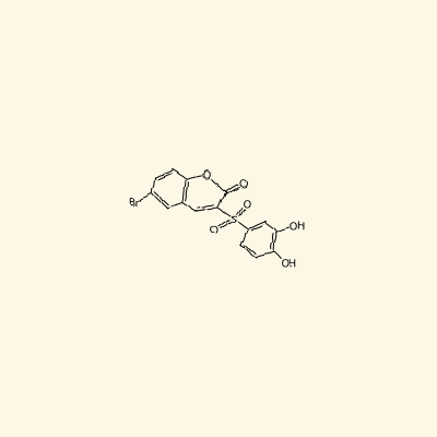 O=c1oc2ccc(Br)cc2cc1S(=O)(=O)c1ccc(O)c(O)c1